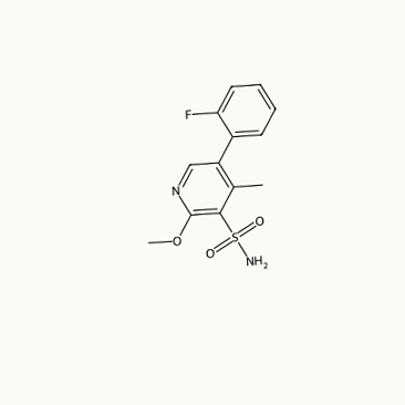 COc1ncc(-c2ccccc2F)c(C)c1S(N)(=O)=O